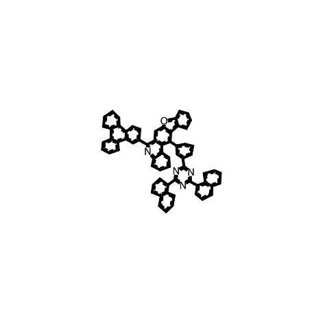 c1cc(-c2nc(-c3cccc4ccccc34)nc(-c3cccc4ccccc34)n2)cc(-c2c3c(cc4c(-c5ccc6c7ccccc7c7ccccc7c6c5)nc5ccccc5c24)oc2ccccc23)c1